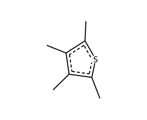 Cc1sc(C)c(C)c1C